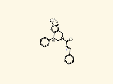 Cc1cc2c(s1)CN(C(=O)/C=C/c1ccccc1)C[C@H]2c1ccccc1